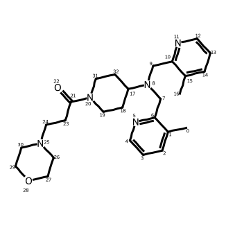 Cc1cccnc1CN(Cc1ncccc1C)C1CCN(C(=O)CCN2CCOCC2)CC1